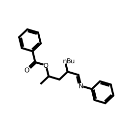 CCCCC(C=Nc1ccccc1)CC(C)OC(=O)c1ccccc1